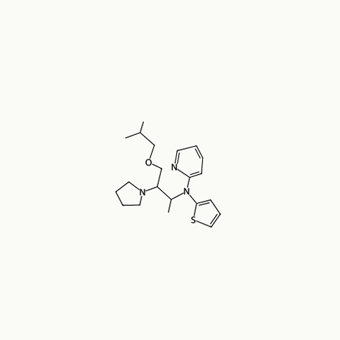 CC(C)COCC(C(C)N(c1ccccn1)c1cccs1)N1CCCC1